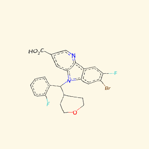 O=C(O)c1cnc2c3cc(F)c(Br)cc3n(C(c3ccccc3F)C3CCOCC3)c2c1